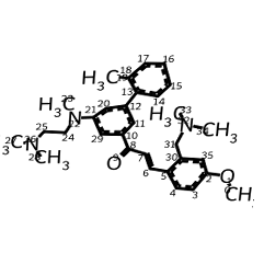 COc1ccc(C=CC(=O)c2cc(-c3ccccc3C)cc(N(C)CCN(C)C)c2)c(CN(C)C)c1